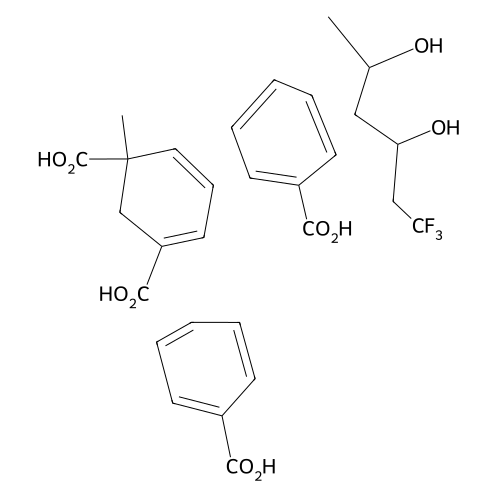 CC(O)CC(O)CC(F)(F)F.CC1(C(=O)O)C=CC=C(C(=O)O)C1.O=C(O)c1ccccc1.O=C(O)c1ccccc1